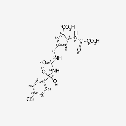 O=C(NCc1cc(C(=O)O)c(NC(=O)C(=O)O)s1)NS(=O)(=O)c1ccc(Cl)cc1